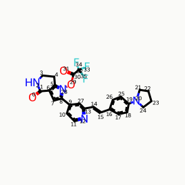 O=C1NCCc2c1cc(-c1ccnc(C=Cc3ccc(N4CCCC4)cc3)c1)n2OC(=O)C(F)(F)F